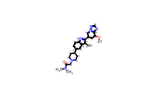 CCOc1cc(-c2[nH]c3ccc(C4CCN(CC(=O)N(C)C)CC4)cc3c2C(C)C)cn2ncnc12